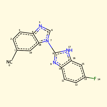 N#Cc1ccc2ncn(-c3nc4ccc(F)cc4[nH]3)c2c1